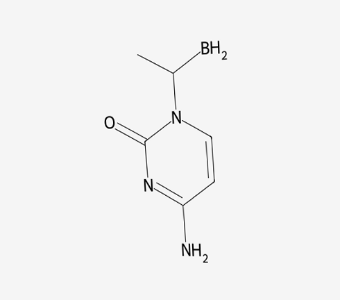 BC(C)n1ccc(N)nc1=O